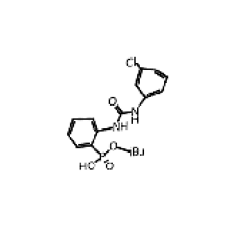 CCC(C)OP(=O)(O)c1ccccc1NC(=O)Nc1cccc(Cl)c1